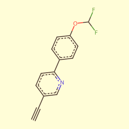 C#Cc1ccc(-c2ccc(OC(F)F)cc2)nc1